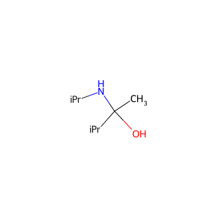 CC(C)NC(C)(O)C(C)C